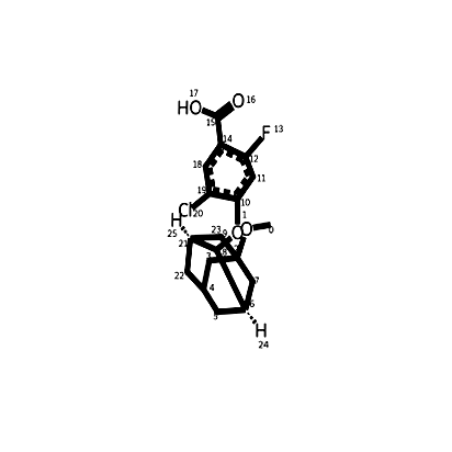 COC12CC3C[C@H](C1)C(Oc1cc(F)c(C(=O)O)cc1Cl)[C@@H](C3)C2